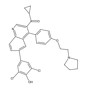 O=C(c1cnc2ccc(-c3cc(Cl)c(O)c(Cl)c3)cc2c1-c1ccc(OCCN2CCCC2)cc1)C1CC1